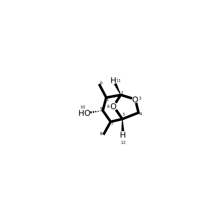 CC1[C@@H]2OC[C@@H](O2)C(C)[C@@H]1O